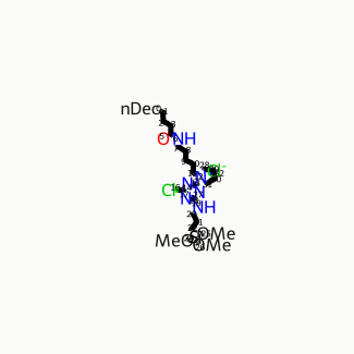 CCCCCCCCCCCCCC(=O)NCCCCC[N+]1(c2nc(Cl)nc(NCCC[Si](OC)(OC)OC)n2)CCCC1.[Cl-]